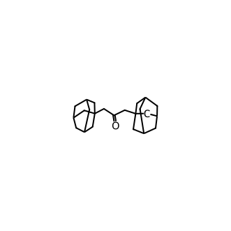 O=C(CC12CC3CC(CC(C3)C1)C2)CC12CC3CC(CC(C3)C1)C2